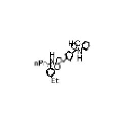 CCC[C@@H](NC(=O)OCc1ccc(C(=O)Nc2ccccc2O)cc1)c1ccc(CC)cc1